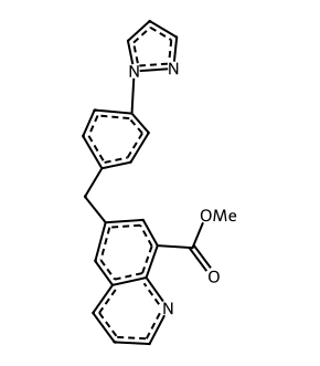 COC(=O)c1cc(Cc2ccc(-n3cccn3)cc2)cc2cccnc12